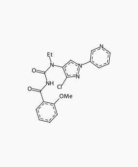 CCN(C(=O)NC(=O)c1ccccc1OC)c1cn(-c2cccnc2)nc1Cl